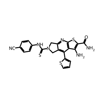 N#Cc1ccc(NC(=S)N2Cc3nc4sc(C(N)=O)c(N)c4c(-c4cccs4)c3C2)cc1